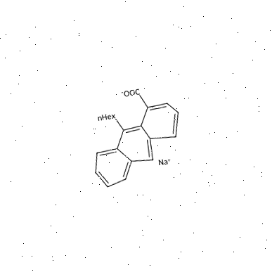 CCCCCCc1c2ccccc2cc2cccc(C(=O)[O-])c12.[Na+]